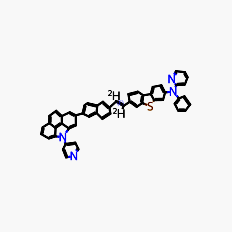 [2H]/C(=C(/[2H])c1ccc2c(c1)sc1cc(N(c3ccccc3)c3ccccn3)ccc12)c1ccc2cc(-c3cc4ccc5cccc6c5c4c(c3)n6-c3ccncc3)ccc2c1